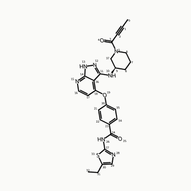 CC#CC(=O)N1CCC[C@@H](Nc2n[nH]c3nccc(Oc4ccc(C(=O)Nc5ncc(CC)s5)cc4)c23)C1